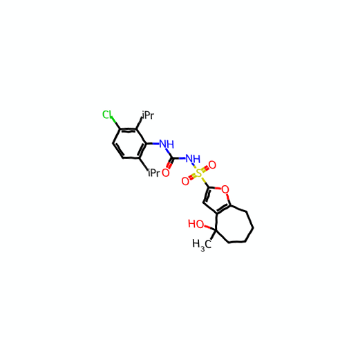 CC(C)c1ccc(Cl)c(C(C)C)c1NC(=O)NS(=O)(=O)c1cc2c(o1)CCCCC2(C)O